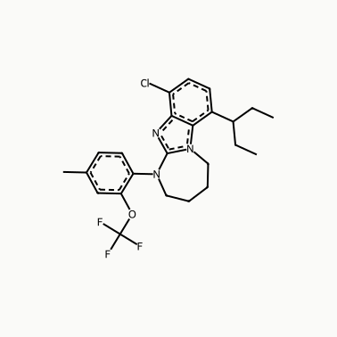 CCC(CC)c1ccc(Cl)c2nc3n(c12)CCCCN3c1ccc(C)cc1OC(F)(F)F